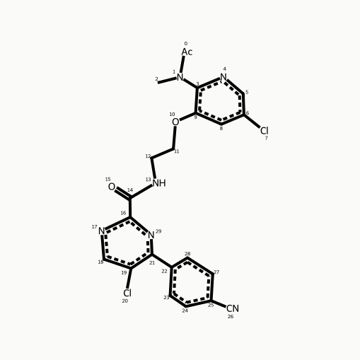 CC(=O)N(C)c1ncc(Cl)cc1OCCNC(=O)c1ncc(Cl)c(-c2ccc(C#N)cc2)n1